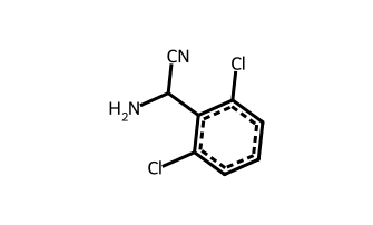 N#CC(N)c1c(Cl)cccc1Cl